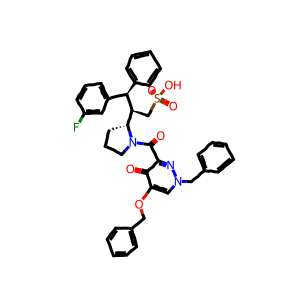 O=C(c1nn(Cc2ccccc2)cc(OCc2ccccc2)c1=O)N1CCC[C@@H]1[C@H](CS(=O)(=O)O)[C@H](c1ccccc1)c1cccc(F)c1